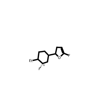 CCC1CCC(C2CC=C(F)O2)C[C@@H]1F